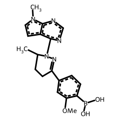 COc1cc(C2=NN(c3ncnc4c3ccn4C)C(C)CC2)ccc1B(O)O